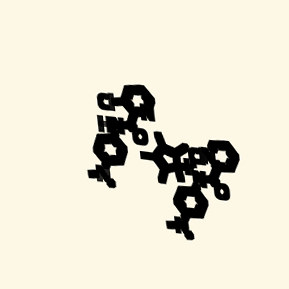 CC1=C(C)[C](C)([Ir]([Cl])[N](C(=O)c2ccccn2)c2ccc(N(C)C)cc2)C(C)=C1C.CN(C)c1ccc(NC(=O)c2ncccc2Cl)cc1